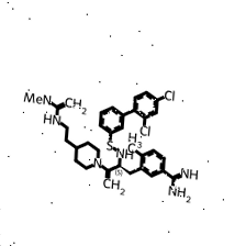 C=C(NC)NCCC1CCN(C(=C)[C@H](Cc2cc(C(=N)N)ccc2C)NSc2cccc(-c3ccc(Cl)cc3Cl)c2)CC1